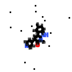 Cc1ccc2[nH]c3c(cc(-c4ccncc4)c(=O)n3C)c2c1